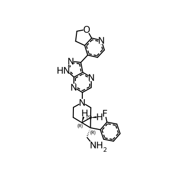 NC[C@]1(c2ccccc2F)[C@@H]2CCN(c3cnc4c(-c5ccnc6c5CCO6)n[nH]c4n3)C[C@@H]21